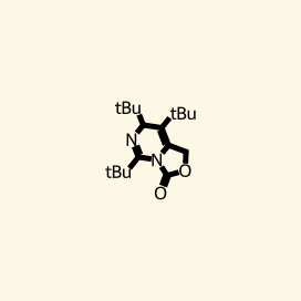 CC(C)(C)C1=NC(C(C)(C)C)C(C(C)(C)C)=C2COC(=O)N12